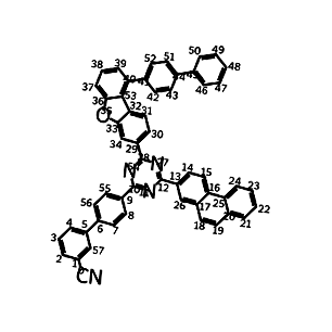 N#Cc1cccc(-c2ccc(-c3nc(-c4ccc5c(ccc6ccccc65)c4)nc(-c4ccc5c(c4)oc4cccc(-c6ccc(-c7ccccc7)cc6)c45)n3)cc2)c1